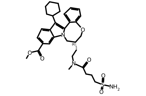 COC(=O)c1ccc2c(C3CCCCC3)c3n(c2c1)C[C@@H](CCN(C)C(=O)CCCS(N)(=O)=O)COc1ccccc1-3